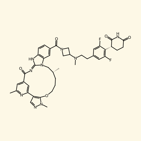 Cc1cc2cc(n1)-c1cnn(C)c1OCCC[C@@H](C)CN1/C(=N/C2=O)Nc2ccc(C(=O)N3CC(N(C)CCc4cc(F)c([C@H]5CCC(=O)NC5=O)c(F)c4)C3)cc21